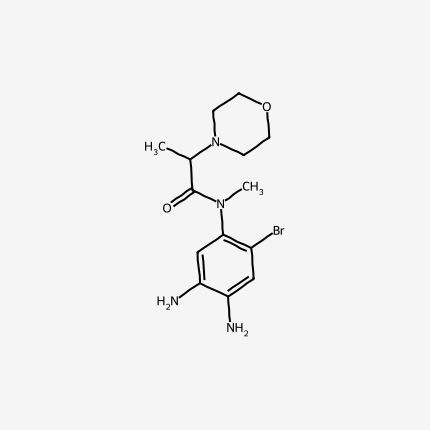 CC(C(=O)N(C)c1cc(N)c(N)cc1Br)N1CCOCC1